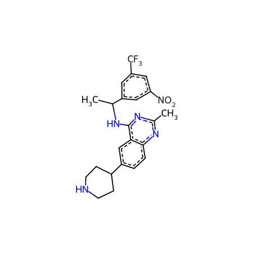 Cc1nc(NC(C)c2cc([N+](=O)[O-])cc(C(F)(F)F)c2)c2cc(C3CCNCC3)ccc2n1